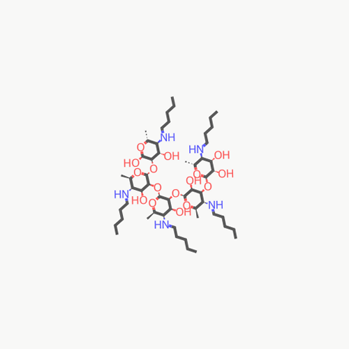 CCCCCN[C@H]1[C@H](O)[C@H](O)[C@@H](O[C@@H]2[C@H](O)[C@@H](O[C@@H]3[C@@H](O[C@@H]4[C@@H](O[C@H]5[C@@H](O)[C@H](NCCCCC)[C@@H](C)O[C@@H]5O)O[C@H](C)[C@@H](NCCCCC)[C@@H]4O)O[C@H](C)[C@@H](NCCCCC)[C@@H]3O)O[C@H](C)[C@H]2NCCCCC)O[C@@H]1C